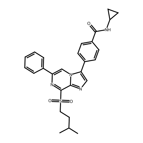 CC(C)CCS(=O)(=O)c1nc(-c2ccccc2)cn2c(-c3ccc(C(=O)NC4CC4)cc3)cnc12